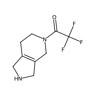 O=C(N1CCC2=C(CNC2)C1)C(F)(F)F